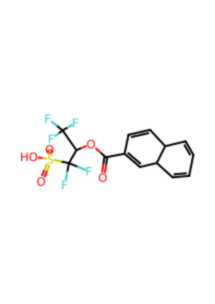 O=C(OC(C(F)(F)F)C(F)(F)S(=O)(=O)O)C1=CC2C=CC=CC2C=C1